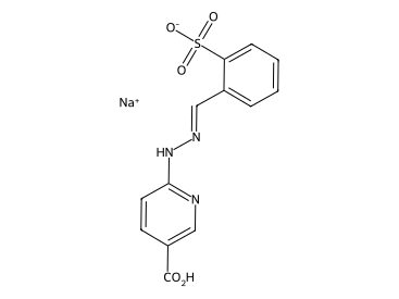 O=C(O)c1ccc(N/N=C/c2ccccc2S(=O)(=O)[O-])nc1.[Na+]